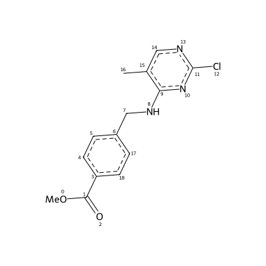 COC(=O)c1ccc(CNc2nc(Cl)ncc2C)cc1